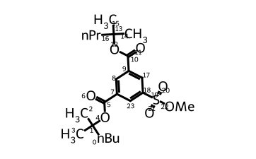 CCCCC(C)(C)OC(=O)c1cc(C(=O)OC(C)(C)CCC)cc(S(=O)(=O)OC)c1